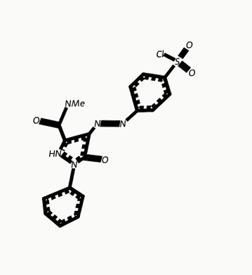 CNC(=O)c1[nH]n(-c2ccccc2)c(=O)c1N=Nc1ccc(S(=O)(=O)Cl)cc1